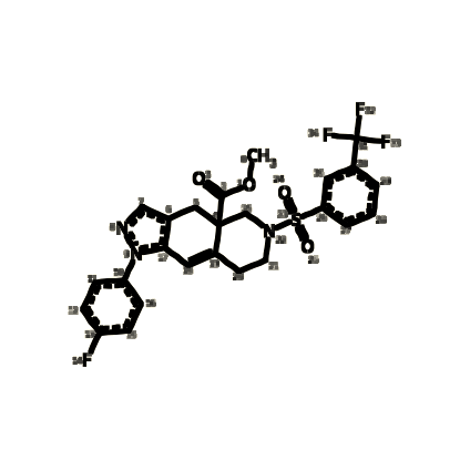 COC(=O)C12Cc3cnn(-c4ccc(F)cc4)c3C=C1CCN(S(=O)(=O)c1cccc(C(F)(F)F)c1)C2